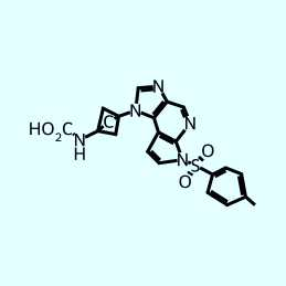 Cc1ccc(S(=O)(=O)n2ccc3c4c(cnc32)ncn4C23CC(NC(=O)O)(C2)C3)cc1